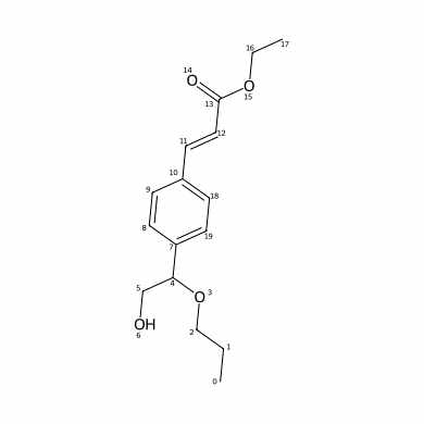 CCCOC(CO)c1ccc(C=CC(=O)OCC)cc1